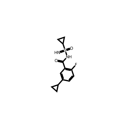 N=S(=O)(NC(=O)c1cc(C2CC2)ccc1F)C1CC1